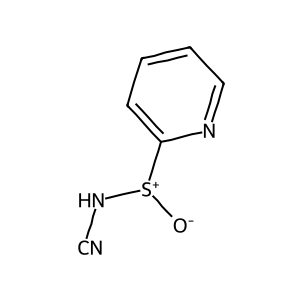 N#CN[S+]([O-])c1ccccn1